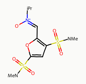 CNS(=O)(=O)c1cc(S(=O)(=O)NC)c(C=[N+]([O-])C(C)C)o1